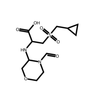 O=CN1CCOCC1NC(CS(=O)(=O)CC1CC1)C(=O)O